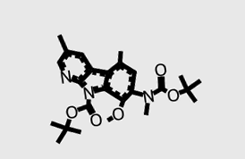 COc1c(N(C)C(=O)OC(C)(C)C)cc(C)c2c3cc(C)cnc3n(C(=O)OC(C)(C)C)c12